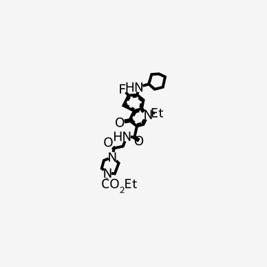 CCOC(=O)N1CCN(C(=O)CNC(=O)c2cn(CC)c3cc(NC4CCCCC4)c(F)cc3c2=O)CC1